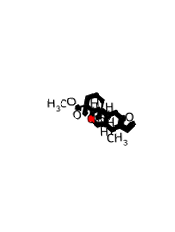 COC(=O)[C@]12CCC[C@]3([C@H](O)OC1)[C@H]1Cc4occc4[C@H](C)[C@@H]1CC[C@@H]23